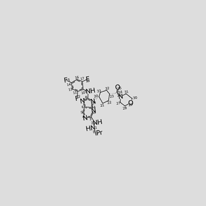 CC(C)NNc1ncc2nc(Nc3c(F)cc(F)cc3F)n([C@H]3CC[C@@H](C(=O)N4CCOCC4)CC3)c2n1